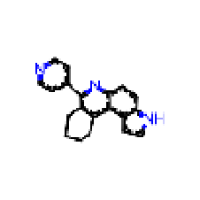 c1cc(-c2nc3ccc4[nH]ccc4c3c3c2CCCC3)ccn1